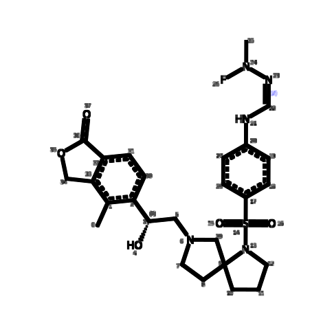 Cc1c([C@@H](O)CN2CCC3(CCCN3S(=O)(=O)c3ccc(N/C=N\N(C)F)cc3)C2)ccc2c1COC2=O